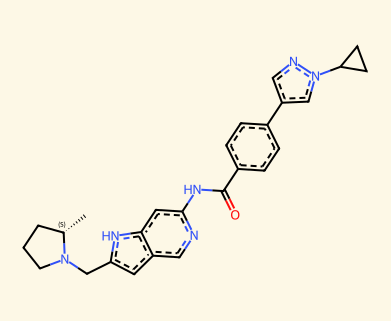 C[C@H]1CCCN1Cc1cc2cnc(NC(=O)c3ccc(-c4cnn(C5CC5)c4)cc3)cc2[nH]1